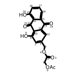 CC(=O)OCC(=O)OCc1cc(O)c2c(c1)C(=O)c1cccc(O)c1C2=O